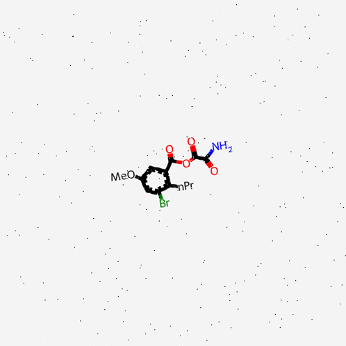 CCCc1c(Br)cc(OC)cc1C(=O)OC(=O)C(N)=O